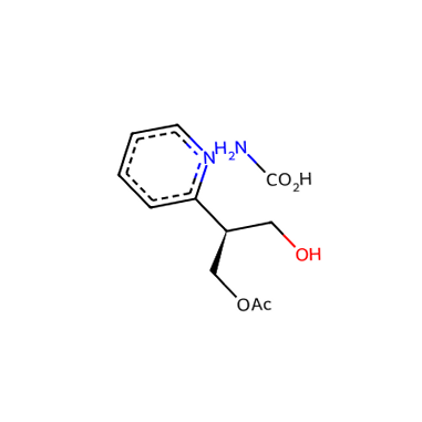 CC(=O)OC[C@H](CO)c1ccccn1.NC(=O)O